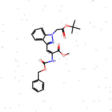 COC(=O)/C(=C\c1nn(CC(=O)OC(C)(C)C)c2ccccc12)NC(=O)OCc1ccccc1